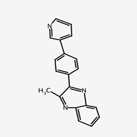 Cc1nc2ccccc2nc1-c1ccc(-c2cccnc2)cc1